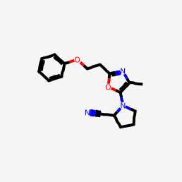 Cc1nc(CCOc2ccccc2)oc1N1CCCC1C#N